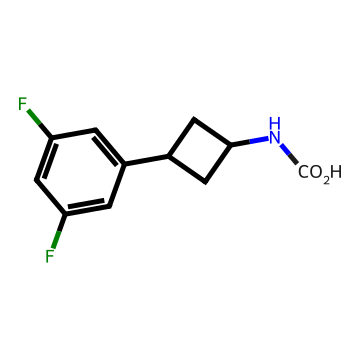 O=C(O)NC1CC(c2cc(F)cc(F)c2)C1